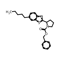 CCCCCc1ccc2nc(C3CCCN3C(=O)OCc3ccccc3)sc2c1